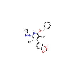 N#Cc1c(NC2CC2)nc(OCc2ccccc2)c(C#N)c1-c1ccc2c(c1)OCO2